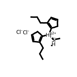 CCCC1=[C]([Hf+2]([C]2=C(CCC)C=CC2)[SiH](C)C)CC=C1.[Cl-].[Cl-]